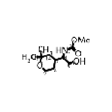 COC(=O)NC(CO)C1CCOC(C)(C)C1